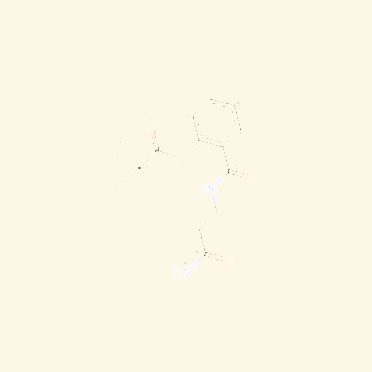 CC(C)(C)C(=O)Sc1ccccc1C(=O)NCCC(N)=O